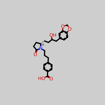 O=C(O)c1ccc(CCCN2C(=O)CC[C@@H]2CCC(O)Cc2ccc3c(c2)OCO3)cc1